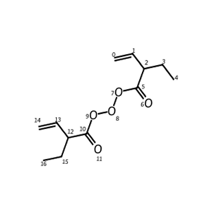 C=CC(CC)C(=O)OOOC(=O)C(C=C)CC